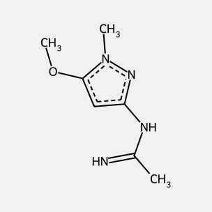 COc1cc(NC(C)=N)nn1C